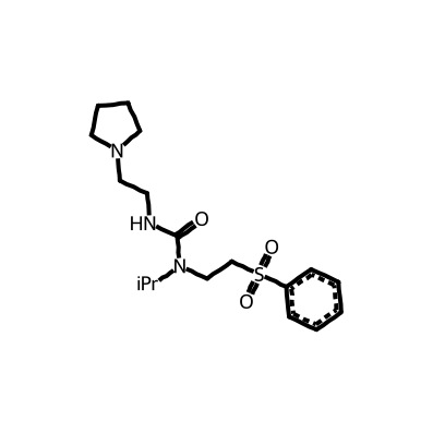 CC(C)N(CCS(=O)(=O)c1ccccc1)C(=O)NCCN1CCCC1